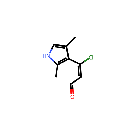 Cc1c[nH]c(C)c1/C(Cl)=C\C=O